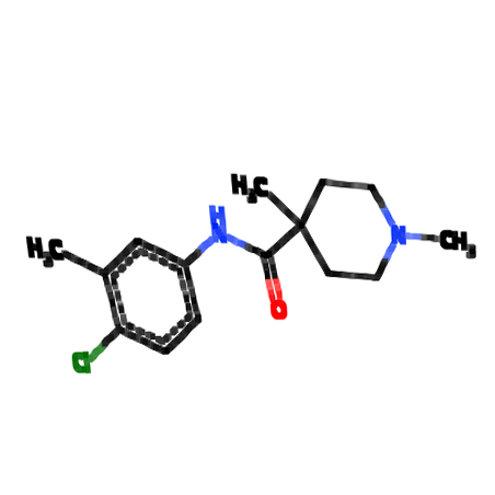 Cc1cc(NC(=O)C2(C)CCN(C)CC2)ccc1Cl